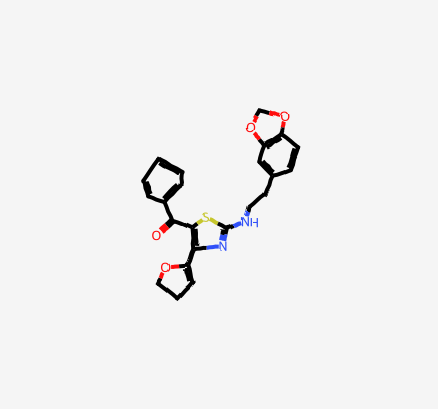 O=C(c1ccccc1)c1sc(NCCc2ccc3c(c2)OCO3)nc1C1=CCCO1